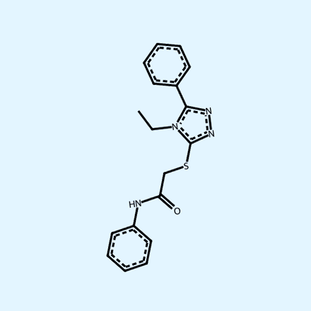 CCn1c(SCC(=O)Nc2ccccc2)nnc1-c1ccccc1